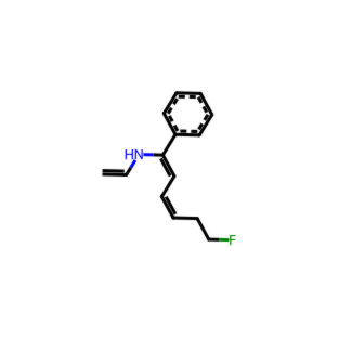 C=CN/C(=C\C=C/CCF)c1ccccc1